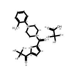 Cc1ccccc1N1CCN(C(=O)c2ccc(C(=O)C(F)(F)F)s2)CC1.O=C(O)C(F)(F)F